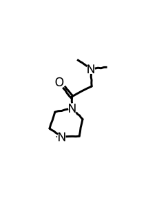 CN(C)CC(=O)N1CC[N]CC1